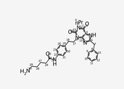 CCCn1c(=O)c2[nH]c(Cc3ccccc3)nc2n(CCc2ccc(NC(=O)CCCCN)cc2)c1=O